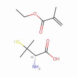 C=C(C)C(=O)OCC.CC(C)(S)[C@@H](N)C(=O)O